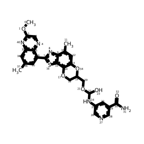 COc1cnc2c(-c3nc4c(C)cc5c(c4s3)OCC(COC(O)Nc3cncc(C(N)=O)c3)O5)cc(C)cc2n1